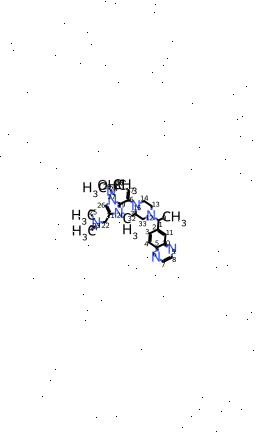 CC(c1ccc2nccnc2c1)N1CCN(/C(=C/C=O)c2nc(CN(C)C)cn2N(C)C)C(C)C1